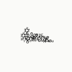 CON=C(C(=O)N[C@]1(C)C(=O)N2C(C(=O)OC(c3ccccc3)c3ccccc3)=C(C(N)=O)CS[C@H]21)c1ccc(CNC(=O)OC(C)(C)C)o1